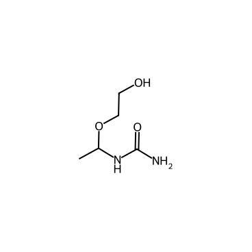 CC(NC(N)=O)OCCO